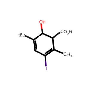 CC1=C(I)C=C(C(C)(C)C)C(O)C1C(=O)O